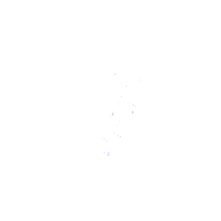 O=C(NO)Nc1ccc(C(=O)O)nc1